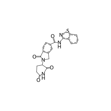 O=C1CCC(N2Cc3cc(C(=O)Nc4nsc5ccccc45)ccc3C2=O)C(=O)N1